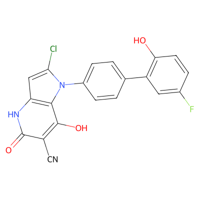 N#Cc1c(O)c2c(cc(Cl)n2-c2ccc(-c3cc(F)ccc3O)cc2)[nH]c1=O